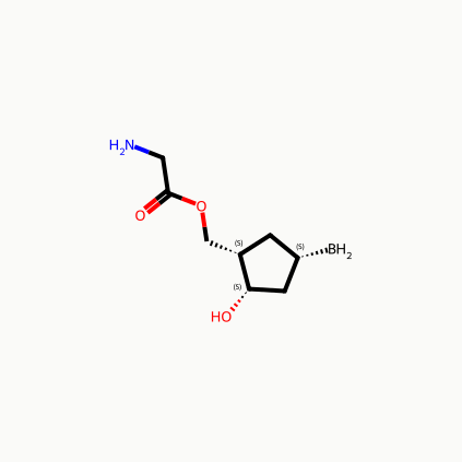 B[C@H]1C[C@@H](COC(=O)CN)[C@@H](O)C1